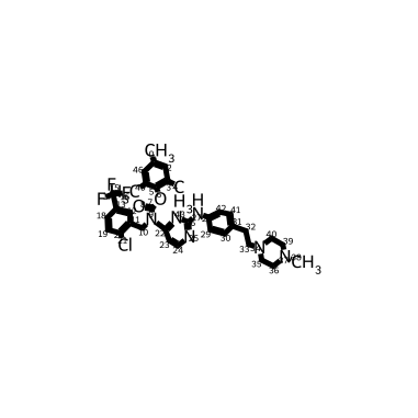 Cc1cc(C)c(OC(=O)N(Cc2cc(C(F)(F)F)ccc2Cl)c2ccnc(Nc3ccc(CCN4CCN(C)CC4)cc3)n2)c(C)c1